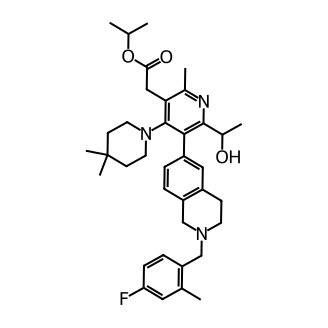 Cc1cc(F)ccc1CN1CCc2cc(-c3c(C(C)O)nc(C)c(CC(=O)OC(C)C)c3N3CCC(C)(C)CC3)ccc2C1